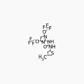 Cc1csc(NC(=O)Nc2nc(OCC(F)(F)F)cc(OCC(F)(F)F)n2)c1